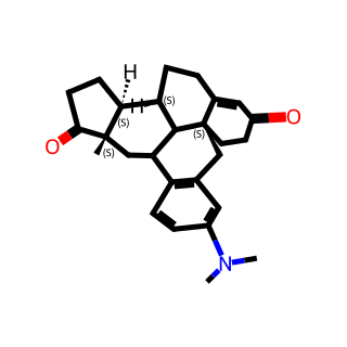 CN(C)c1ccc2c(c1)C[C@]13CCC(=O)C=C1CC[C@@H]1C3C2C[C@]2(C)C(=O)CC[C@@H]12